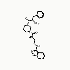 NC(Cc1ccccc1)C(=O)N1CCC[C@@H](C(=O)NCCNc2nsc3ccccc23)C1